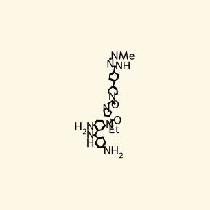 CCN(C(=O)[C@@H]1CCN(CC(=O)N2CC=C(c3ccc(C(=N)/N=C\NC)cc3)CC2)C1)c1ccc(N)c(C(=N)c2ccc(N)cc2)c1